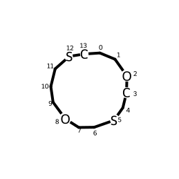 C1COCCSCCOCCCSC1